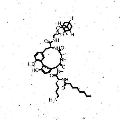 CCCCCCCC(=O)N[C@@H](CCCCN)C(=O)N(C)[C@@H]1C(=O)N[C@@H](C)C(=O)N[C@H](C(=O)NCB2O[C@@H]3C[C@@H]4C[C@@H](C4(C)C)[C@]3(C)O2)Cc2ccc(O)c(c2)-c2cc1ccc2O